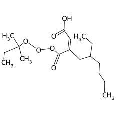 CCCCC(CC)CC(=CC(=O)O)C(=O)OOOC(C)(C)CC